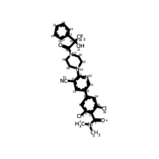 CN(C)C(=O)c1c(Cl)cc(-c2cnc(N3CCN(C(=O)C(O)(c4ccccc4)C(F)(F)F)CC3)c(C#N)c2)cc1Cl